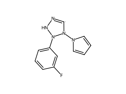 Fc1cccc(N2NN=[C]N2n2cccc2)c1